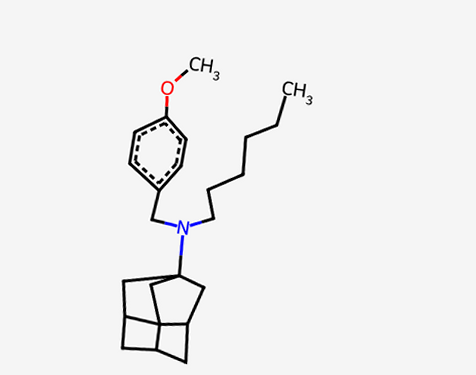 CCCCCCN(Cc1ccc(OC)cc1)C12CC3CC4CC(C1)C43C2